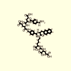 NNc1ccc(C(=O)NC(CCC(=O)O)C(=O)NC(CCC(=O)O)C(=O)NCc2ccc(C(=O)NC(Cc3ccc4ccccc4c3)C(=O)NCCCCC(NC(=O)NC(CCC(=O)O)C(=O)O)C(=O)O)cc2)cn1